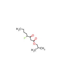 CCCCC(F)C(=O)CC(=O)OCC(C)C